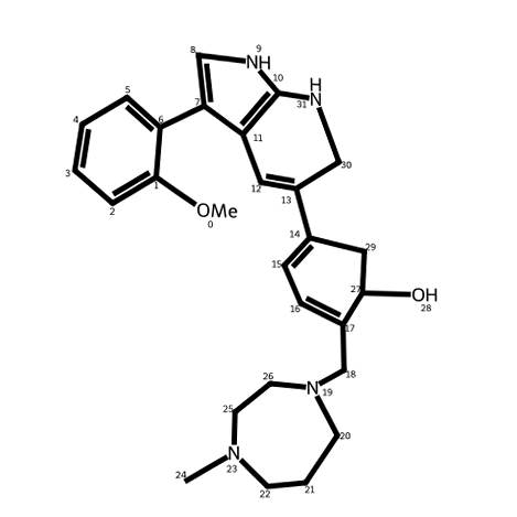 COc1ccccc1-c1c[nH]c2c1C=C(C1=CC=C(CN3CCCN(C)CC3)C(O)C1)CN2